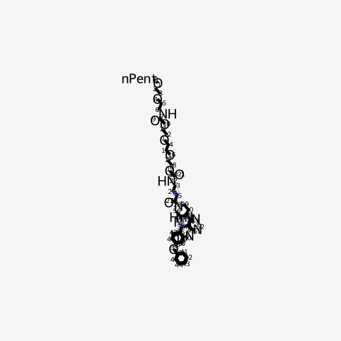 CCCCCOCCOCCNC(=O)OCCOCCOCCOC(=O)NC/C=C/C(=O)N1CCC[C@@H](/N=C(/c2ccc(Oc3ccccc3)cc2)c2c(N)ncnc2N)C1